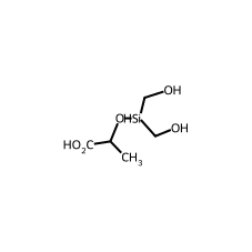 CC(O[SiH](CO)CO)C(=O)O